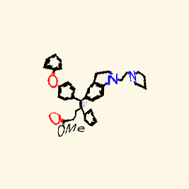 COC(=O)CC/C(=C(\c1ccc(Oc2ccccc2)cc1)c1ccc2c(c1)CCN2CCN1CCCC1)c1ccccc1